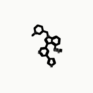 CN1CCCC(Cn2cc(-c3cncc(-c4ccsc4)c3)c3c(C(=O)O)cccc32)C1